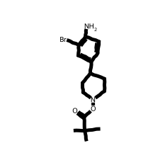 CC(C)(C)C(=O)ON1CCC(c2ccc(N)c(Br)c2)CC1